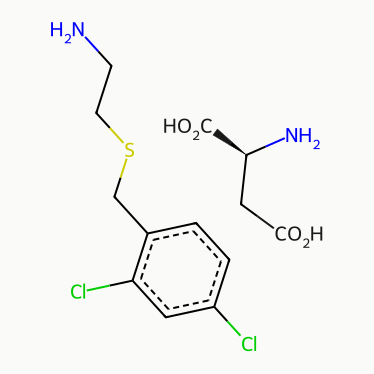 NCCSCc1ccc(Cl)cc1Cl.N[C@@H](CC(=O)O)C(=O)O